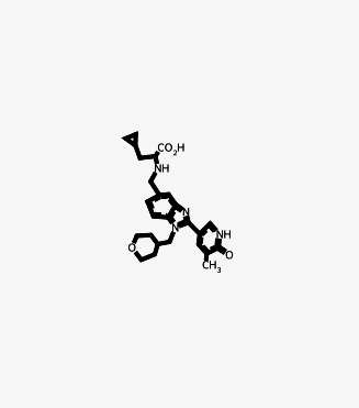 Cc1cc(-c2nc3cc(CNC(CC4CC4)C(=O)O)ccc3n2CC2CCOCC2)c[nH]c1=O